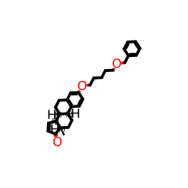 C[C@]12CC[C@@H]3c4ccc(OCCCCCOCc5ccccc5)cc4CC[C@H]3[C@@H]1C=CC2=O